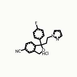 Cl.N#Cc1ccc2c(c1)COC2(CCn1cccn1)c1ccc(F)cc1